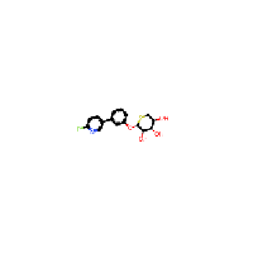 O[C@@H]1[C@@H](O)[C@@H](Oc2cccc(-c3ccc(F)nc3)c2)SC[C@H]1O